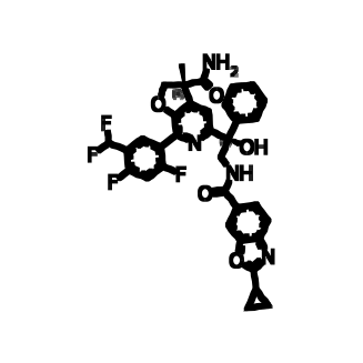 C[C@]1(C(N)=O)COc2c1cc([C@@](O)(CNC(=O)c1ccc3nc(C4CC4)oc3c1)c1ccccc1)nc2-c1cc(C(F)F)c(F)cc1F